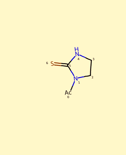 CC(=O)N1CCNC1=S